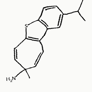 CC(C)c1ccc2sc3c(c2c1)C=CC(C)(N)C=C3